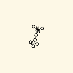 c1ccc(-c2cc(-c3ccc(-c4ccc5c(c4)-c4ccccc4[Si]5(c4ccccc4)c4ccccc4)cc3)nc(-c3ccccc3)n2)cc1